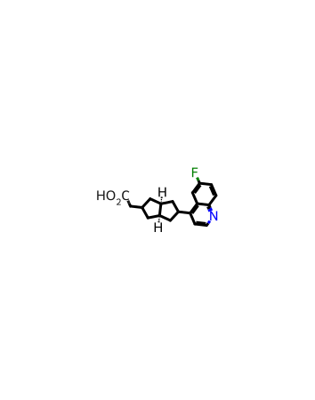 O=C(O)CC1C[C@@H]2CC(c3ccnc4ccc(F)cc34)C[C@@H]2C1